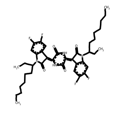 CCCCCCCC(CC)N1C(=O)/C(=c2\[nH]c(=O)/c(=C3/C(=O)N(C(CC)CCCCCCC)c4cc(F)c(F)cc43)[nH]c2=O)c2cc(F)c(F)cc21